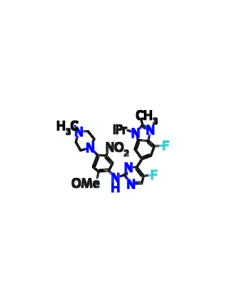 COc1cc(N2CCN(C)CC2)c([N+](=O)[O-])cc1Nc1ncc(F)c(-c2cc(F)c3nc(C)n(C(C)C)c3c2)n1